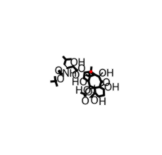 CC(=O)O[C@@]12CO[C@@H]1C[C@H](O)[C@@]1(C)C(=O)[C@H](O)C3=C(C)[C@@H](OC(=O)[C@H](O)[C@H](CC(C)C)NC(=O)OC(C)(C)C)C[C@@](O)([C@@H](O)[C@H]21)C3(C)C